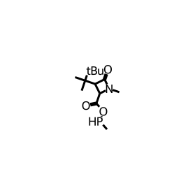 CPOC(=O)C1C(C(C)(C)C(C)(C)C)C(=O)N1C